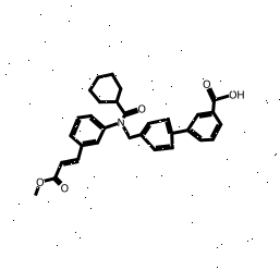 COC(=O)C=Cc1cccc(N(Cc2ccc(-c3cccc(C(=O)O)c3)cc2)C(=O)C2CCCCC2)c1